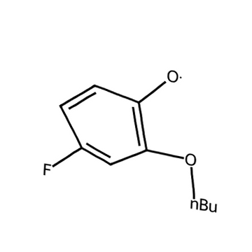 CCCCOc1cc(F)ccc1[O]